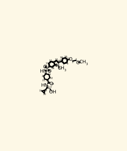 COCCOc1ccc(-c2cc3ccc(S(=O)(=O)NC4CCC(C(=O)N[C@H](CO)C5CC5)CC4)cc3n2C)cc1